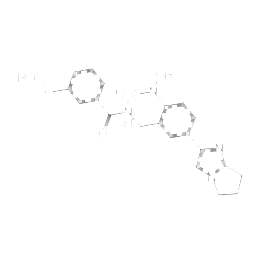 COc1cccc(C(=O)NCc2cc(-c3cn4c(n3)CCC4)ccc2N(C)C)c1